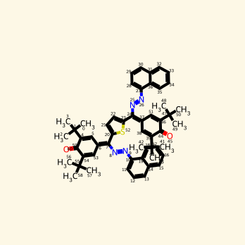 CC(C)(C)C1=CC(=C(/N=N/c2cccc3ccccc23)c2ccc(C(/N=N/c3cccc4ccccc34)=C3C=C(C(C)(C)C)C(=O)C(C(C)(C)C)=C3)s2)C=C(C(C)(C)C)C1=O